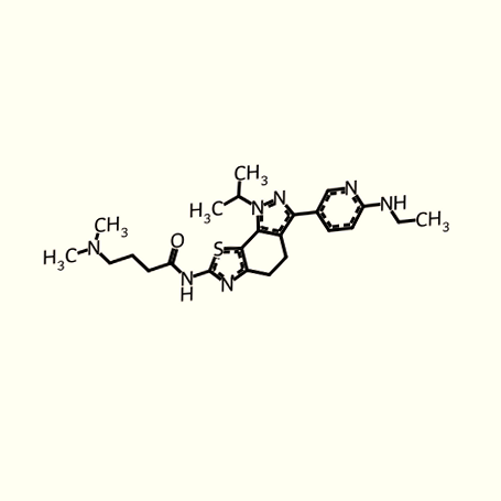 CCNc1ccc(-c2nn(C(C)C)c3c2CCc2nc(NC(=O)CCCN(C)C)sc2-3)cn1